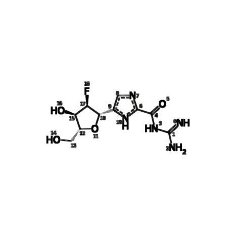 N=C(N)NC(=O)c1ncc([C@@H]2O[C@H](CO)[C@@H](O)[C@H]2F)[nH]1